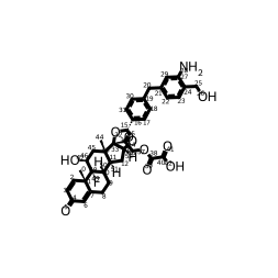 C[C@]12C=CC(=O)C=C1CC[C@H]1[C@@H]3C[C@H]4O[C@@H](c5ccc(Cc6ccc(CO)c(N)c6)cc5)O[C@@]4(C(=O)COC(=O)C(=O)O)[C@@]3(C)C[C@H](O)[C@@]12F